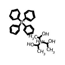 CC(O)[NH+](C(C)O)C(C)O.c1ccc([B-](c2ccccc2)(c2ccccc2)c2ccccc2)cc1